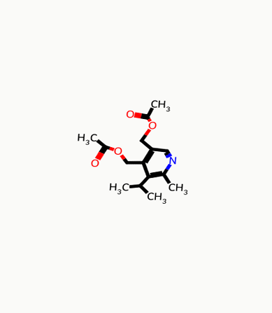 CC(=O)OCc1cnc(C)c(C(C)C)c1COC(C)=O